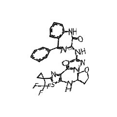 O=C1Nc2ccccc2C(c2ccccc2)=N[C@@H]1Nc1nnc(-c2nc(C3(C(F)(F)F)CC3)sc2NC2CCOC2)o1